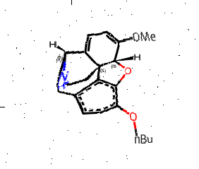 CCCCOc1ccc2c3c1O[C@H]1C(OC)=CC=C4[C@@H](C2)NCC[C@]431